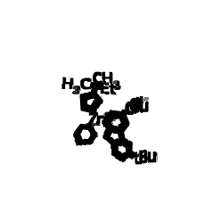 CCC(C)(C)C1=CC[C]([Zr+2](=[C]2CCCCC2)[c]2cc(C(C)(C)C)cc3c2Cc2ccc(C(C)(C)C)cc2-3)=C1.[Cl-].[Cl-]